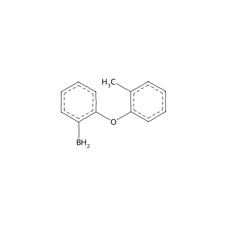 Bc1ccccc1Oc1ccccc1C